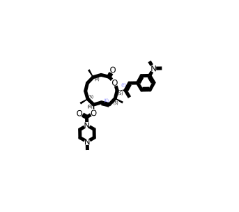 C/C(=C\c1cccc(N(C)C)c1)[C@H]1OC(=O)C[C@H](C)CC[C@H](C)[C@@H](OC(=O)N2CCN(C)CC2)/C=C/[C@@H]1C